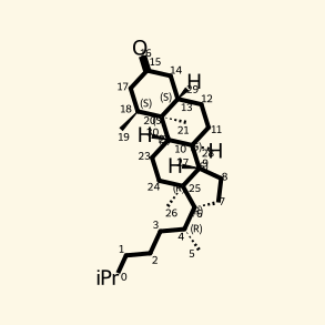 CC(C)CCC[C@@H](C)[C@H]1CC[C@H]2[C@@H]3CC[C@H]4CC(=O)C[C@H](C)[C@]4(C)[C@H]3CC[C@]12C